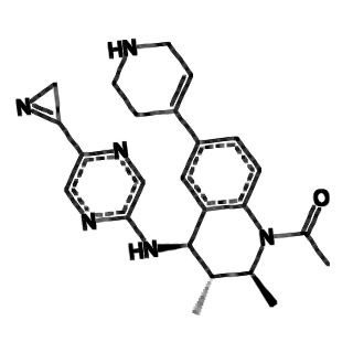 CC(=O)N1c2ccc(C3=CCNCC3)cc2[C@H](Nc2cnc(C3=NC3)cn2)[C@@H](C)[C@@H]1C